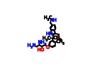 CNCc1ccc2c(C=O)c(C(C)(C)c3cc(OCC(O)C(N)CN)ccc3C)[nH]c2c1